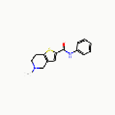 O=CN1CCc2sc(C(=O)Nc3ccccc3)cc2C1